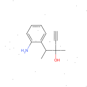 C#CC(C)(O)C(C)c1ccccc1N